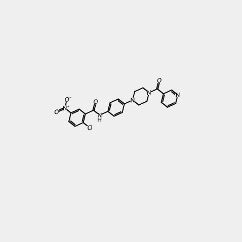 O=C(Nc1ccc(N2CCN(C(=O)c3cccnc3)CC2)cc1)c1cc([N+](=O)[O-])ccc1Cl